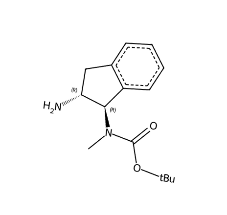 CN(C(=O)OC(C)(C)C)[C@@H]1c2ccccc2C[C@H]1N